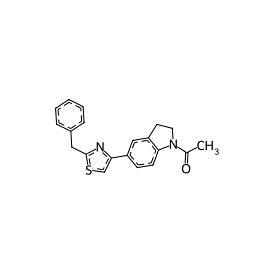 CC(=O)N1CCc2cc(-c3csc(Cc4ccccc4)n3)ccc21